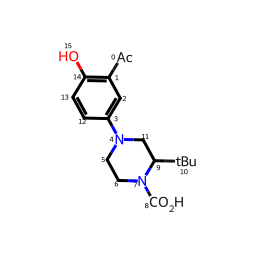 CC(=O)c1cc(N2CCN(C(=O)O)C(C(C)(C)C)C2)ccc1O